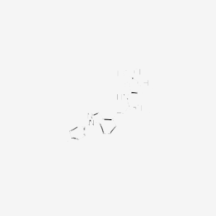 C[C@@H](CCc1cccc2c1cnn2-c1ccc(F)cc1)NC(=O)OC(C)(C)C